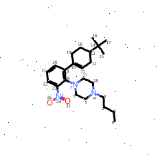 CCCCN1CCN(c2c(C3=CCC(C(C)(C)C)CC3)cccc2[N+](=O)[O-])CC1